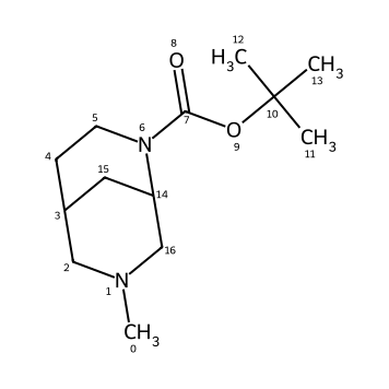 CN1CC2CCN(C(=O)OC(C)(C)C)C(C2)C1